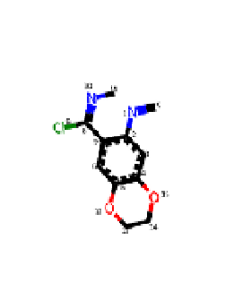 C=Nc1cc2c(cc1/C(Cl)=N\C)OCCO2